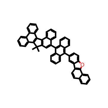 CC1(C)c2cc(-c3c4ccccc4c(-c4ccc5oc6c7ccccc7ccc6c5c4)c4ccccc34)c3ccccc3c2-c2c1c1ccccc1c1ccccc21